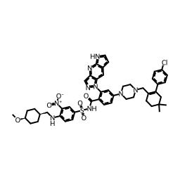 CO[C@H]1CC[C@@H](CNc2ccc(S(=O)(=O)NC(=O)c3ccc(N4CCN(CC5=C(c6ccc(Cl)cc6)CC(C)(C)CC5)CC4)cc3-n3ncc4nc5[nH]ccc5cc43)cc2[N+](=O)[O-])CC1